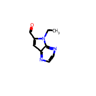 CCn1c(C=O)cc2nccnc21